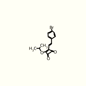 CC(C)Oc1c(/C=C/c2ccc(Br)cc2)c(=O)c1=O